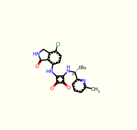 Cc1cccc([C@H](Nc2c(Nc3ccc(Cl)c4c3C(=O)NC4)c(=O)c2=O)C(C)(C)C)n1